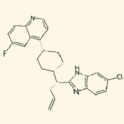 C=CC[C@@H](c1nc2ccc(Cl)cc2[nH]1)[C@H]1CC[C@@H](c2ccnc3ccc(F)cc32)CC1